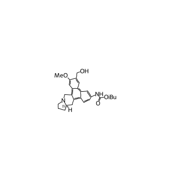 COc1cc2c3c(c4ccc(NC(=O)OCC(C)C)cc4c2cc1CO)C[C@@H]1CCCN1C3